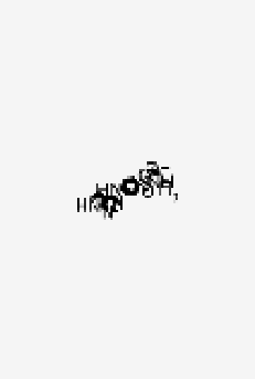 CC(=O)NS(=O)(=O)c1ccc(Nc2ncnc3[nH]ccc23)cc1